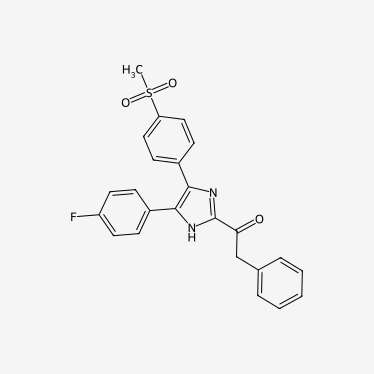 CS(=O)(=O)c1ccc(-c2nc(C(=O)Cc3ccccc3)[nH]c2-c2ccc(F)cc2)cc1